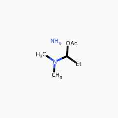 CCC(OC(C)=O)N(C)C.N